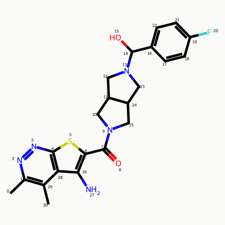 Cc1nnc2sc(C(=O)N3CC4CN(C(O)c5ccc(F)cc5)CC4C3)c(N)c2c1C